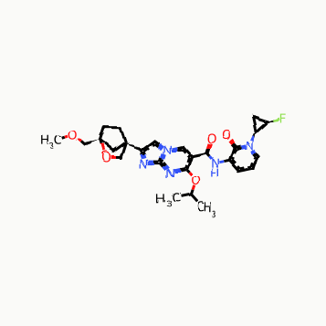 COC[C@]12CC[C@](c3cn4cc(C(=O)Nc5cccn([C@H]6C[C@H]6F)c5=O)c(OC(C)C)nc4n3)(CO1)C2